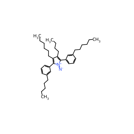 CCCCCCC1=C(c2cccc(CCCCC)c2)[N+](=[N-])C(c2cccc(CCCCCC)c2)=C1CCCC